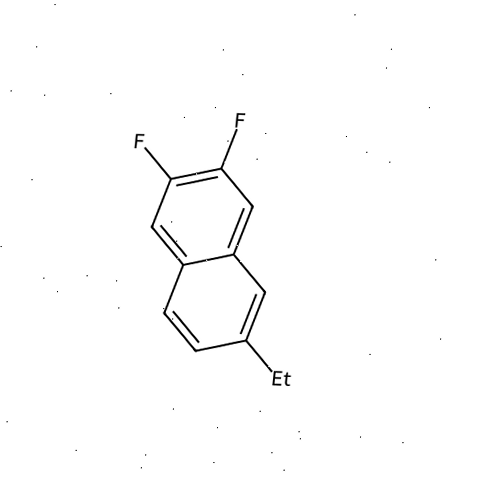 CCc1ccc2cc(F)c(F)cc2c1